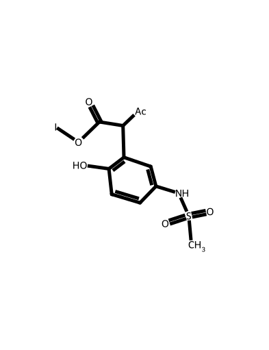 CC(=O)C(C(=O)OI)c1cc(NS(C)(=O)=O)ccc1O